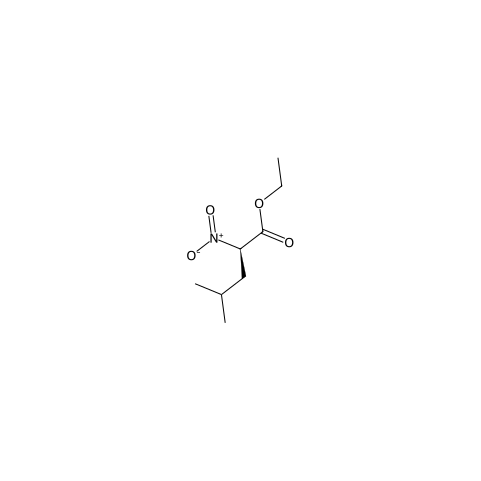 CCOC(=O)[C@@H](CC(C)C)[N+](=O)[O-]